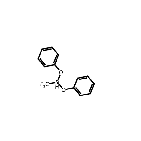 FC(F)(F)[SiH](Oc1ccccc1)Oc1ccccc1